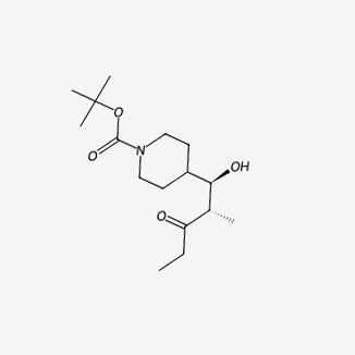 CCC(=O)[C@@H](C)[C@H](O)C1CCN(C(=O)OC(C)(C)C)CC1